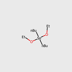 CCC[CH2][Sn]([CH2]CCC)([O]CC)[O]CC